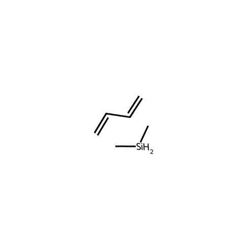 C=CC=C.C[SiH2]C